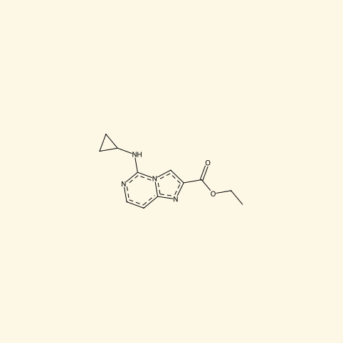 CCOC(=O)c1cn2c(NC3CC3)nccc2n1